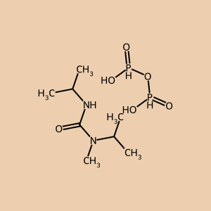 CC(C)NC(=O)N(C)C(C)C.O=[PH](O)O[PH](=O)O